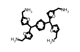 NCc1ccc(C(c2ccc(C(c3ccc(CN)o3)c3ccc(CN)o3)cc2)c2ccc(CN)o2)o1